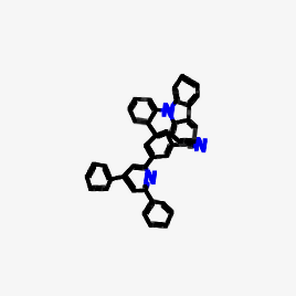 N#Cc1cc(-c2cc(-c3ccccc3)cc(-c3ccccc3)n2)cc(-c2ccccc2-n2c3ccccc3c3ccccc32)c1